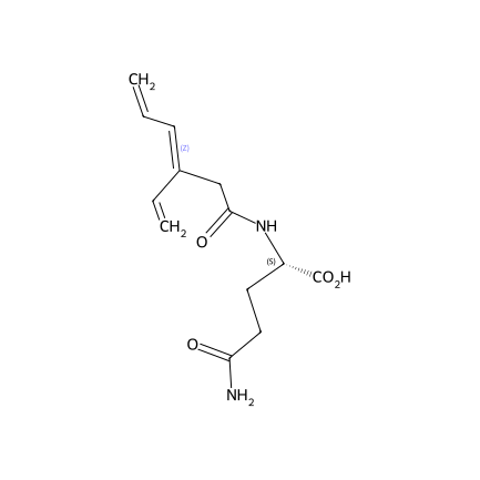 C=C/C=C(\C=C)CC(=O)N[C@@H](CCC(N)=O)C(=O)O